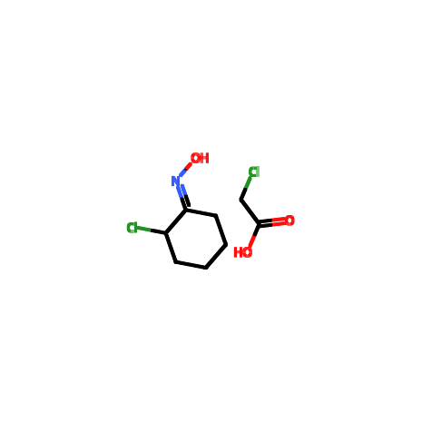 O=C(O)CCl.ON=C1CCCCC1Cl